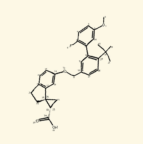 COc1ccc(F)c(-c2cc(COc3ccc4c(c3)[C@]3(CC4)C[C@@H]3C(=O)O)ccc2C(C)(C)C)c1